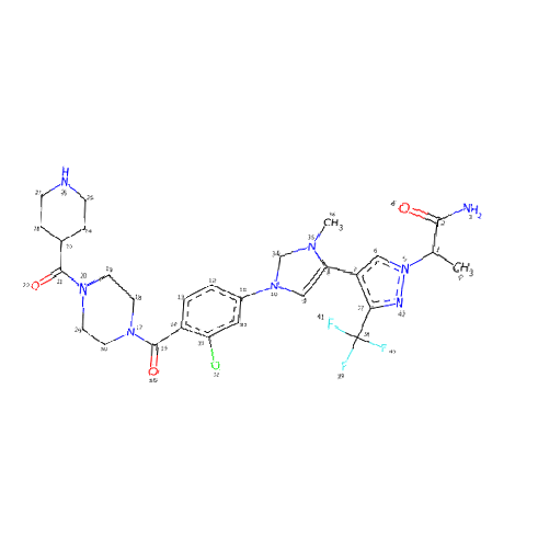 CC(C(N)=O)n1cc(C2=CN(c3ccc(C(=O)N4CCN(C(=O)C5CCNCC5)CC4)c(Cl)c3)CN2C)c(C(F)(F)F)n1